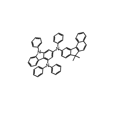 CC1(C)c2ccc(N(c3ccccc3)c3cc(N(c4ccccc4)c4ccccc4)c4c5ccccc5n(-c5ccccc5)c4c3)cc2-c2c1ccc1ccccc21